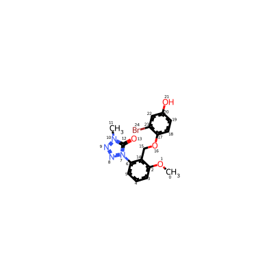 COc1cccc(-n2nnn(C)c2=O)c1COc1ccc(O)cc1Br